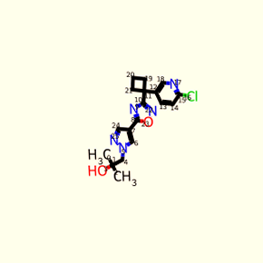 CC(C)(O)Cn1cc(-c2nc(C3(c4ccc(Cl)nc4)CCC3)no2)cn1